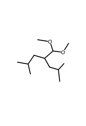 COC(OC)C(CC(C)C)CC(C)C